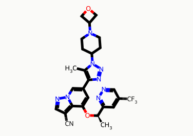 Cc1c(-c2cc(O[C@H](C)c3cc(C(F)(F)F)cnn3)c3c(C#N)cnn3c2)nnn1C1CCN(C2COC2)CC1